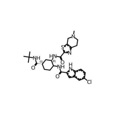 CN1CCc2nc(C(=O)N[C@@H]3C[C@@H](C(=O)NC(C)(C)C)CCC3NC(=O)c3cc4cc(Cl)ccc4[nH]3)sc2C1